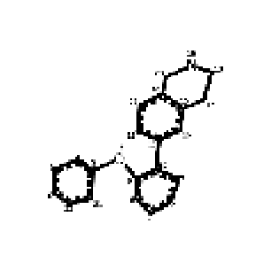 c1ccc(Oc2ccccc2-c2ccc3c(c2)CC[N]C3)cc1